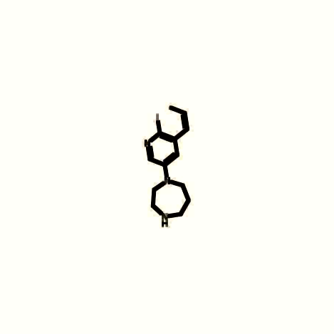 C/C=C\c1cc(N2CCCNCC2)cnc1I